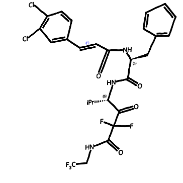 CC(C)[C@H](NC(=O)[C@H](Cc1ccccc1)NC(=O)/C=C/c1ccc(Cl)c(Cl)c1)C(=O)C(F)(F)C(=O)NCC(F)(F)F